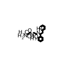 CC(C)(N)C(=O)NCC(=O)NC(Cc1ccccn1)c1ccccc1